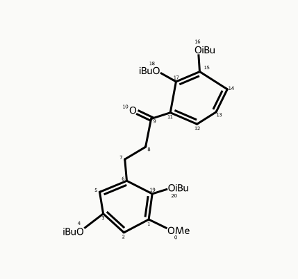 COc1cc(OCC(C)C)cc(CCC(=O)c2cccc(OCC(C)C)c2OCC(C)C)c1OCC(C)C